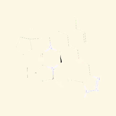 Cn1nnc(COc2ccc(Cl)c3c2[C@@H](CN2CC4(CC4)CC2=O)N(C(=O)[C@@H]2CCC[C@]2(C)C(=O)O)CC3)c1C(F)(F)F